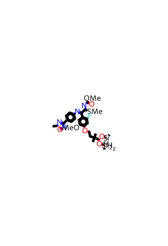 COC(=O)N=C(SC)C(=Nc1ccc(-c2noc(C)n2)cc1)c1cc(OC)c(OCCC(C)(C)C(O[SiH2]C)O[SiH2]C)cc1F